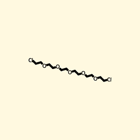 ClCCOCCOCCOCCOCCOCCCl